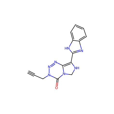 C#CCN1N=NC2=C(c3nc4ccccc4[nH]3)NCN2C1=O